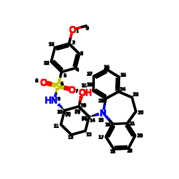 COc1ccc(S(=O)(=O)N[C@H]2CCC[C@@H](N3c4ccccc4CCc4ccccc43)[C@@H]2O)cc1